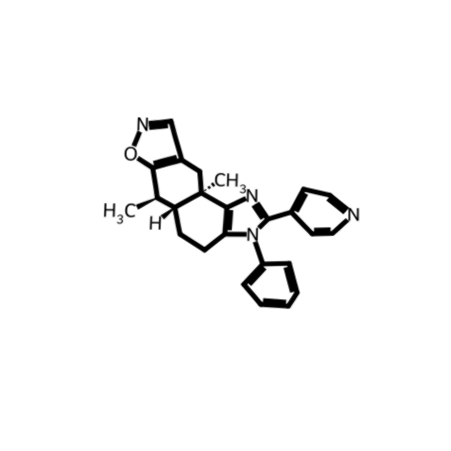 C[C@H]1c2oncc2C[C@@]2(C)c3nc(-c4ccncc4)n(-c4ccccc4)c3CC[C@H]12